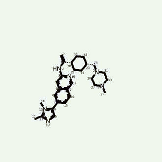 C=C(Nc1cc2cc(-c3cnc(C)n3C)ccc2cn1)[C@H]1CC[C@@H](CN2CCN(C)CC2)CC1